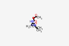 CC(=O)C1OC1C(=O)NC(CC(C)C)C(=O)NCCC(C)C